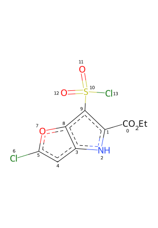 CCOC(=O)c1[nH]c2cc(Cl)oc2c1S(=O)(=O)Cl